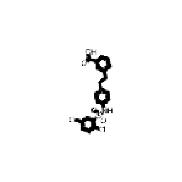 O=C(O)c1cccc(CCc2ccc(NS(=O)(=O)c3cc(Cl)ccc3Cl)cc2)c1